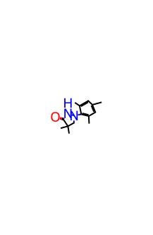 Cc1cc(C)c(N2CC(C)(C)C(=O)N2)c(C)c1